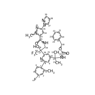 Cc1cc(F)ccc1-c1cc(C(C)(C)NC(=O)OCc2ccccc2)cc(C(O)(CNC(=O)c2cc(-n3cccn3)nn2C)C(F)(F)F)n1